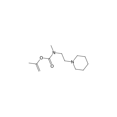 C=C(C)OC(=O)N(C)CCN1CCCCC1